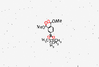 COC(=O)c1ccc(B2OC(C)(C)C(C)(C)O2)cc1C(=O)OC